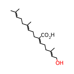 CC(C)=CCC/C(C)=C/CC/C(=C/CC/C(C)=C/CO)C(=O)O